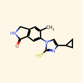 Cc1cc2c(cc1-n1cc(C3CC3)nc1S)C(=O)NC2